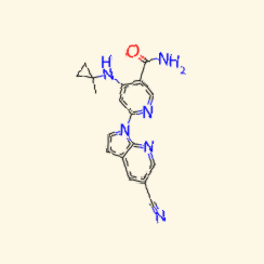 CC1(Nc2cc(-n3ccc4cc(C#N)cnc43)ncc2C(N)=O)CC1